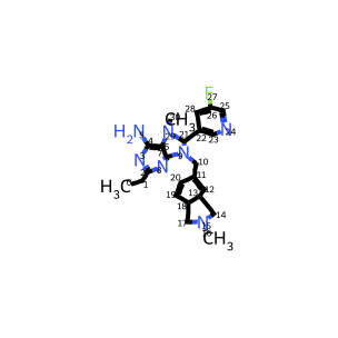 CCc1nc(N)c2c(n1)N(CC1=CC3CN(C)CC3C=C1)C(c1cncc(F)c1)N2C